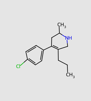 CCCC1=C(c2ccc(Cl)cc2)CC(C)NC1